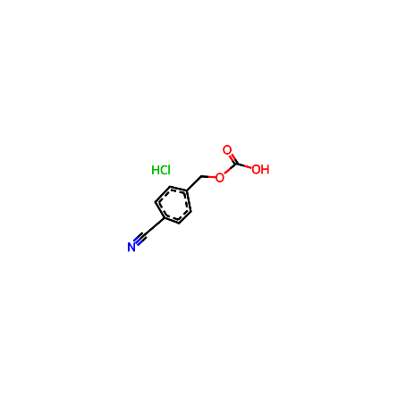 Cl.N#Cc1ccc(COC(=O)O)cc1